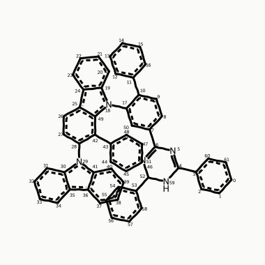 c1ccc(C2=NC(c3ccc(-c4ccccc4)c(-n4c5ccccc5c5ccc(-n6c7ccccc7c7ccccc76)c(-c6ccccc6)c54)c3)=NC(c3ccccc3)N2)cc1